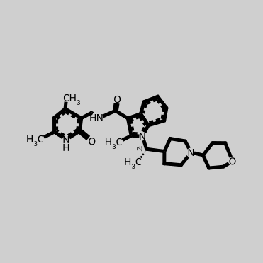 Cc1cc(C)c(CNC(=O)c2c(C)n([C@@H](C)C3CCN(C4CCOCC4)CC3)c3ccccc23)c(=O)[nH]1